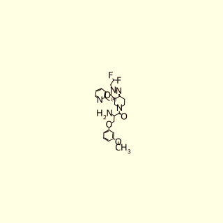 COc1cccc(OCC(N)C(=O)N2CCC3=NN(CC(F)F)C(=O)[C@]3(Cc3ccccn3)C2)c1